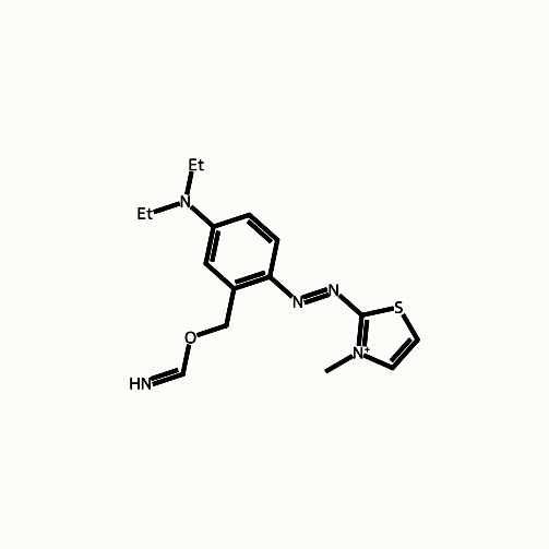 CCN(CC)c1ccc(/N=N/c2scc[n+]2C)c(COC=N)c1